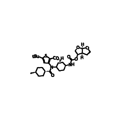 CC(C)(C)c1cc(N(C(=O)[C@H]2CC[C@H](C)CC2)C2CCC(NC(=O)O[C@H]3CO[C@H]4OCC[C@H]43)CC2)c(C(=O)O)s1